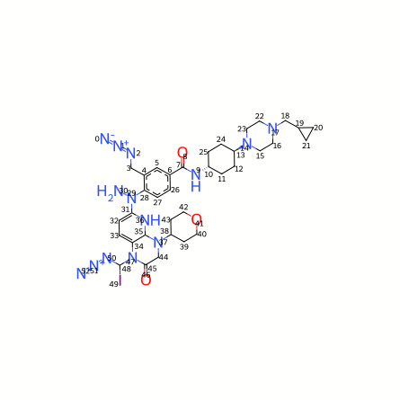 [N-]=[N+]=NCc1cc(C(=O)N[C@H]2CC[C@H](N3CCN(CC4CC4)CC3)CC2)ccc1N(N)C1=CC=C2C(N1)N(C1CCOCC1)CC(=O)N2C(I)N=[N+]=[N-]